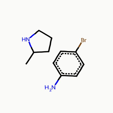 CC1CCCN1.Nc1ccc(Br)cc1